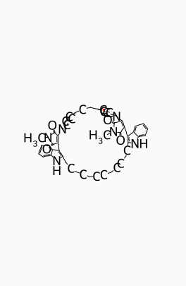 CN1C(=O)C2=C(C1=O)N1CCC(CCC3CCN(CC3)C3=C(C(=O)N(C)C3=O)c3c([nH]c4ccccc34)CCCCCCCCCCCCc3[nH]c4ccccc4c32)CC1